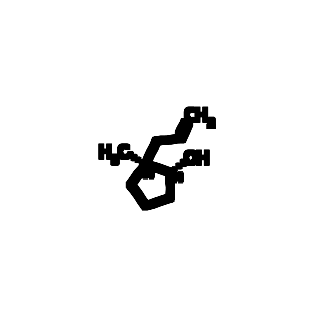 C=CC[C@]1(C)CCC[C@H]1O